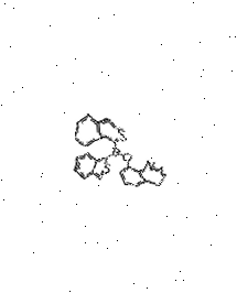 c1ccc2c(B(Oc3cccc4cccnc34)c3scc4ccccc34)scc2c1